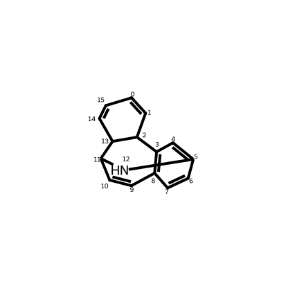 C1=CC2c3cc4ccc3C=CC(N4)C2C=C1